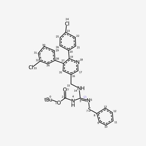 CC(C)(C)OC(=O)N/C(=N\Sc1ccccc1)NCc1cnc(-c2ccc(Cl)cc2)c(-c2cccc(Cl)c2)c1